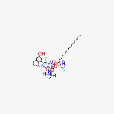 CCCCCCCCCCCCCCCC(=O)OCOC(=O)N1[C@@H]2CC[C@H]1CN(c1nc(OC[C@@]34CCCN3C[C@H](F)C4)nc3c(F)c(-c4cc(O)cc5c4C(C)CCC5)ncc13)C2